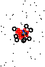 O=P(Oc1ccccc1)(Oc1ccccc1)OP1(OP(=O)(Oc2ccccc2)Oc2ccccc2)=NP2(=NP3(=N1)Oc1ccccc1-c1ccccc1O3)Oc1ccccc1-c1ccccc1O2